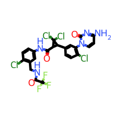 Nc1ccn(-c2cc(C3C(C(=O)Nc4ccc(Cl)c(CNC(=O)C(F)(F)F)c4)C3(Cl)Cl)ccc2Cl)c(=O)n1